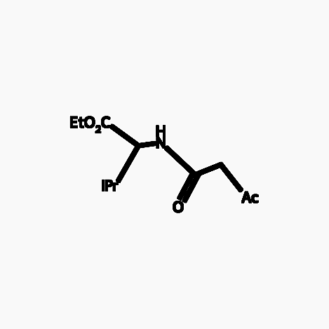 CCOC(=O)C(NC(=O)CC(C)=O)C(C)C